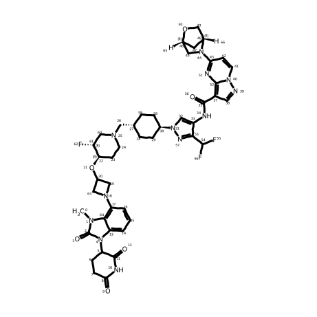 Cn1c(=O)n(C2CCC(=O)NC2=O)c2cccc(N3CC(O[C@@H]4CCN(C[C@H]5CC[C@H](n6cc(NC(=O)c7cnn8ccc(N9C[C@H]%10C[C@@H]9CO%10)nc78)c(C(F)F)n6)CC5)C[C@H]4F)C3)c21